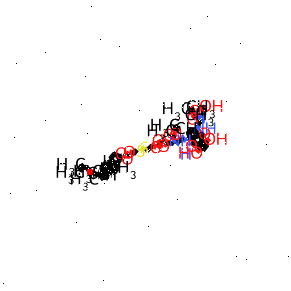 CC(C)CCC[C@@H](C)C1CC[C@H]2[C@@H]3CC=C4C[C@@H](OC(=O)OCCSSCCOC(=O)OCCN(CCNc5ccc(NCCN(CCO)C(=O)OC(C)(C)C)c6c5C(=O)c5c(O)ccc(O)c5C6=O)C(=O)OC(C)(C)C)CC[C@]4(C)[C@H]3CC[C@]12C